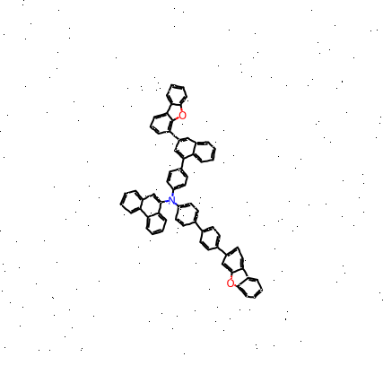 c1ccc2c(-c3ccc(N(c4ccc(-c5ccc(-c6ccc7c(c6)oc6ccccc67)cc5)cc4)c4cc5ccccc5c5ccccc45)cc3)cc(-c3cccc4c3oc3ccccc34)cc2c1